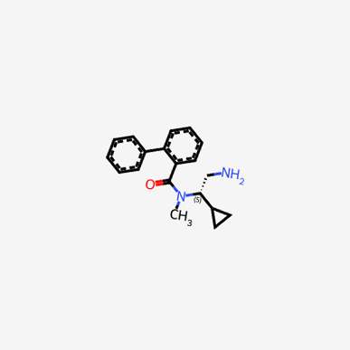 CN(C(=O)c1ccccc1-c1ccccc1)[C@H](CN)C1CC1